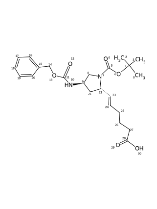 CC(C)(C)OC(=O)N1C[C@H](NC(=O)OCc2ccccc2)C[C@H]1C=CCCCC(=O)O